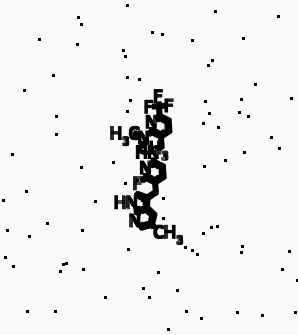 Cc1cnc2[nH]cc(Cc3ccc(NCc4ccc(C(F)(F)F)nc4N(C)C)nc3F)c2c1